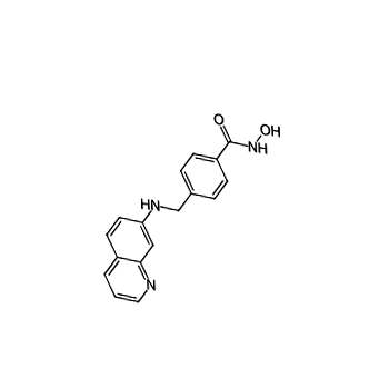 O=C(NO)c1ccc(CNc2ccc3cccnc3c2)cc1